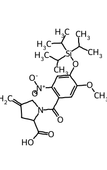 C=C1CC(C(=O)O)N(C(=O)c2cc(OC)c(O[Si](C(C)C)(C(C)C)C(C)C)cc2[N+](=O)[O-])C1